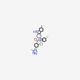 Cc1ccc2c3c([nH]c2c1)CCC(NC(=O)c1ccc(-n2cnnc2C)cc1Cl)(c1cccc(F)c1)C3